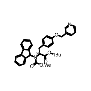 COC(=O)N(C1c2ccccc2-c2ccccc21)[C@@H](Cc1ccc(OCc2cccnc2)cc1)C(=O)OC(C)(C)C